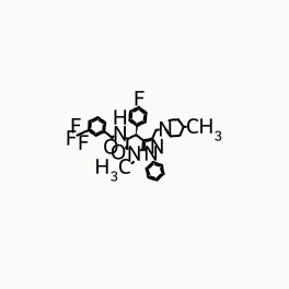 CCN1C(=O)[C@@H](NC(=O)c2cccc(C(F)(F)F)c2)[C@@H](c2ccc(F)cc2)c2c(CN3CCC(C)CC3)nn(-c3ccccc3)c21